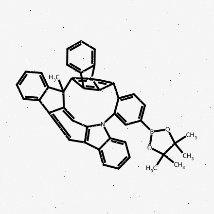 CC12c3ccccc3-c3cc4c5ccccc5n(c4cc31)-c1cc(B3OC(C)(C)C(C)(C)O3)ccc1-c1ccc2c2c1sc1ccccc12